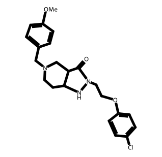 COc1ccc(CN2CCC3NN(CCOc4ccc(Cl)cc4)C(=O)C3C2)cc1